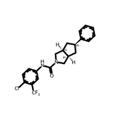 O=C(Nc1ccc(Cl)c(C(F)(F)F)c1)N1C[C@H]2C[C@@H](c3ccccc3)C[C@H]2C1